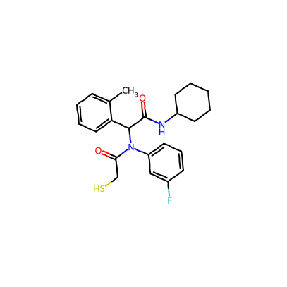 Cc1ccccc1C(C(=O)NC1CCCCC1)N(C(=O)CS)c1cccc(F)c1